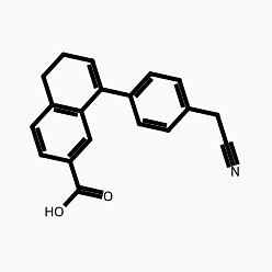 N#CCc1ccc(C2=CCCc3ccc(C(=O)O)cc32)cc1